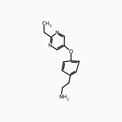 CCc1ncc(Oc2ccc(CCN)cc2)cn1